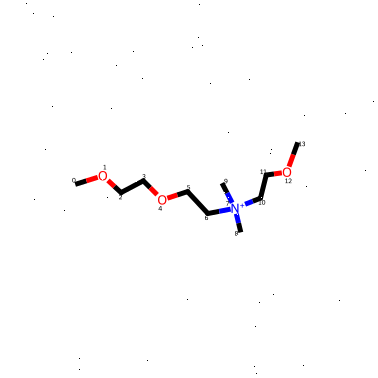 COCCOCC[N+](C)(C)CCOC